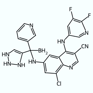 BC(Nc1cc(Cl)c2ncc(C#N)c(Nc3cnc(F)c(F)c3)c2c1)(C1=CNNN1)c1cccnc1